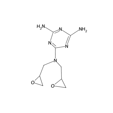 Nc1nc(N)nc(N(CC2CO2)CC2CO2)n1